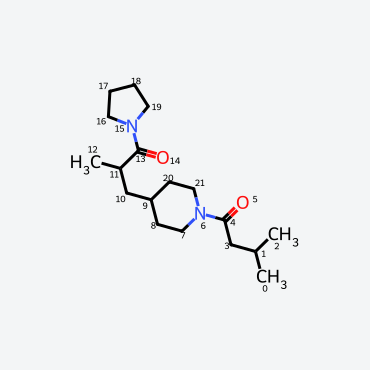 CC(C)CC(=O)N1CCC(CC(C)C(=O)N2CCCC2)CC1